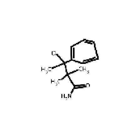 CC(C)(C(N)=O)C(C)(Cl)c1ccccc1